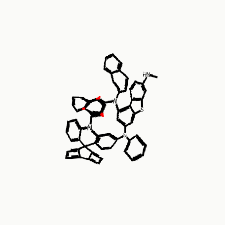 CNc1ccc2c(c1)sc1cc(N(c3ccccc3)c3ccc4c(c3)N(c3ccccc3)c3ccccc3C43c4ccccc4-c4ccccc43)cc(N(c3ccc4ccccc4c3)c3ccc4ccccc4c3)c12